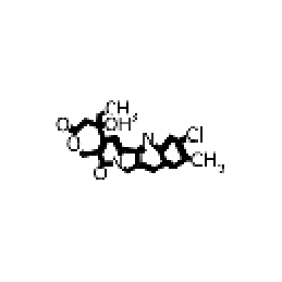 CCC1(O)CC(=O)OCc2c1cc1n(c2=O)Cc2cc3cc(C)c(Cl)cc3nc2-1